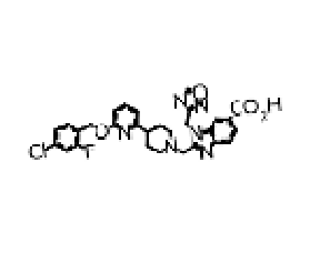 O=C(O)c1ccc2nc(CN3CCC(c4cccc(OCc5ccc(Cl)cc5F)n4)CC3)n(Cc3ncon3)c2c1